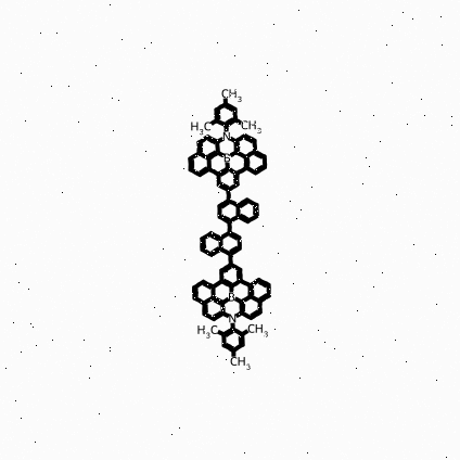 Cc1cc(C)c(N2c3ccc4cccc5c4c3B3c4c-5cc(-c5ccc(-c6ccc(-c7cc8c9c(c7)-c7cccc%10ccc%11c(c7%10)B9c7c(ccc9cccc-8c79)N%11c7c(C)cc(C)cc7C)c7ccccc67)c6ccccc56)cc4-c4cccc5ccc2c3c45)c(C)c1